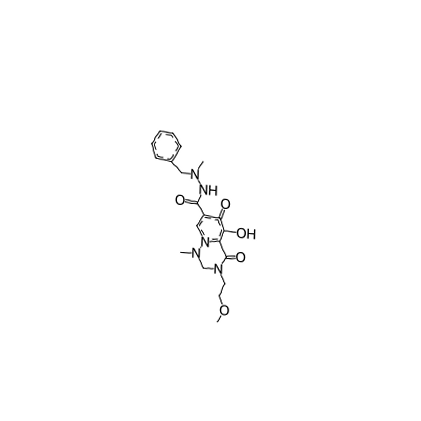 COCCN1CN(C)n2cc(C(=O)NN(C)Cc3ccccc3)c(=O)c(O)c2C1=O